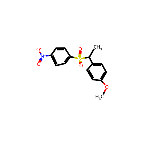 COc1ccc(C(C)S(=O)(=O)c2ccc([N+](=O)[O-])cc2)cc1